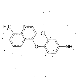 Nc1ccc(Oc2ccnc3c(C(F)(F)F)cccc23)c(Cl)c1